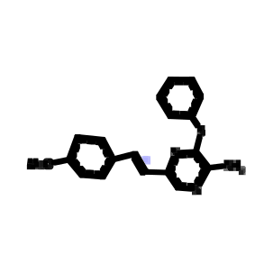 COc1ccc(/C=C/c2cnc(N)c(Sc3ccccc3)n2)cc1